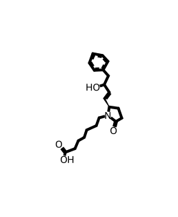 O=C(O)CCCCCCN1C(=O)CC[C@@H]1C=CC(O)Cc1ccccc1